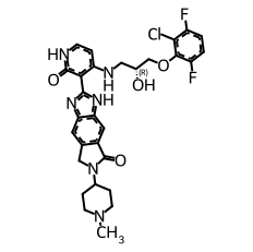 CN1CCC(N2Cc3cc4nc(-c5c(NC[C@@H](O)COc6c(F)ccc(F)c6Cl)cc[nH]c5=O)[nH]c4cc3C2=O)CC1